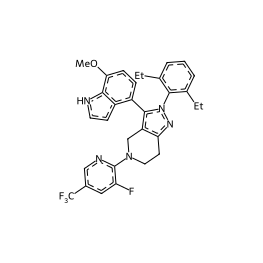 CCc1cccc(CC)c1-n1nc2c(c1-c1ccc(OC)c3[nH]ccc13)CN(c1ncc(C(F)(F)F)cc1F)CC2